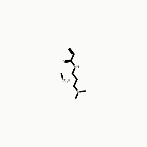 C=CC(=O)NCCCN(C)C.CC(=O)O